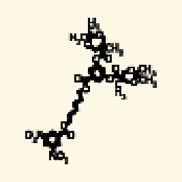 CC1(C)OCC(C)(C(=O)Oc2cc(OC(=O)C3(C)COC(C)(C)OC3)cc(C(=O)OCCCCCCOC(=O)c3cc([N+](=O)[O-])cc([N+](=O)[O-])c3)c2)CO1